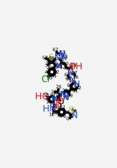 Cc1ncsc1-c1ccc([C@H](C)NC(=O)[C@@H]2C[C@@H](O)CN2C(=O)[C@H](C(C)C)n2cc(-c3ccnc(N4CCN(C(O)CCC5N=C(c6ccc(Cl)cc6)c6c(sc(C)c6C)-n6c(C)nnc65)CC4)c3)cn2)cc1